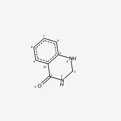 O=C1NCNc2ccccc21